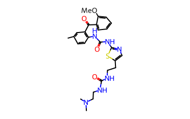 COc1ccccc1C(=O)c1cc(C)ccc1NC(=O)Nc1ncc(CCNC(=O)NCCN(C)C)s1